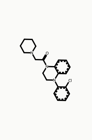 O=C(CN1CCCCC1)N1CCN(c2ccccc2Cl)c2ccccc21